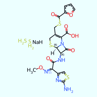 CO/N=C(\C(=O)N[C@@H]1C(=O)N2C(C(=O)O)=C(CSC(=O)c3ccco3)CS[C@H]12)c1csc(N)n1.S.S.[NaH]